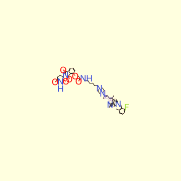 C/C(=C\C=C(/C)N1CCN(CCCCCCNC(=O)COc2cccc3c2C(=O)N(C2CCC(=O)NC2=O)C3=O)CC1)[C@H]1CN(Cc2c(C)cccc2F)C[C@@H]1N(C)C